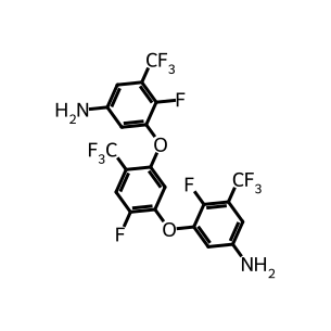 Nc1cc(Oc2cc(Oc3cc(N)cc(C(F)(F)F)c3F)c(C(F)(F)F)cc2F)c(F)c(C(F)(F)F)c1